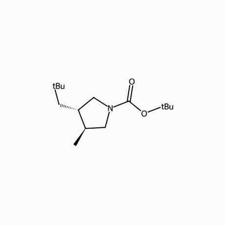 C[C@@H]1CN(C(=O)OC(C)(C)C)C[C@H]1CC(C)(C)C